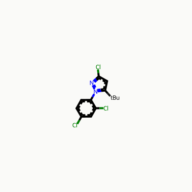 CC(C)(C)c1cc(Cl)nn1-c1ccc(Cl)cc1Cl